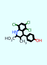 CC1C(C(=O)O)Nc2c(Cl)cc(Cl)c(Cl)c2C1c1ccc(O)cc1